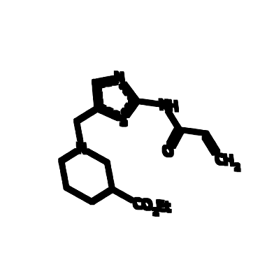 C=CC(=O)Nc1ncc(CN2CCCC(C(=O)OCC)C2)s1